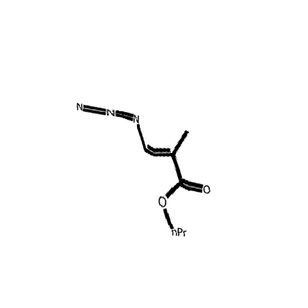 CCCOC(=O)C(C)=CN=[N+]=[N-]